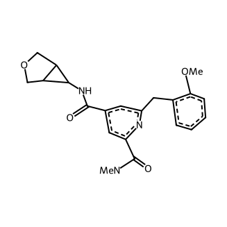 CNC(=O)c1cc(C(=O)NC2C3COCC32)cc(Cc2ccccc2OC)n1